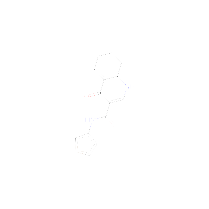 O=C(Nc1ccsc1)C1=CNC2CCCC=C2C1=O